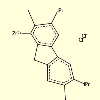 Cc1cc2c(cc1C(C)C)-c1cc(C(C)C)c(C)[c]([Zr+2])c1C2.[Cl-].[Cl-]